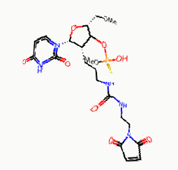 COC[C@H]1O[C@@H](n2ccc(=O)[nH]c2=O)[C@@H](CCCNC(=O)NCCN2C(=O)C=CC2=O)C1OP(O)(=S)OC